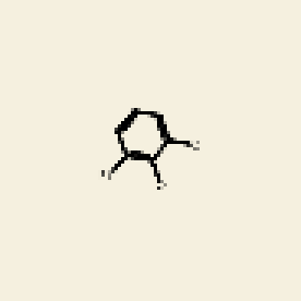 CCc1cccc(Cl)c1[O]